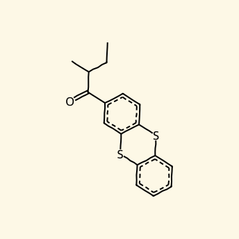 CCC(C)C(=O)c1ccc2c(c1)Sc1ccccc1S2